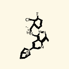 Cc1nnc(N[C@H](C)c2cccc(F)c2Cl)c2cc(N3CC4CC(C3)O4)cnc12